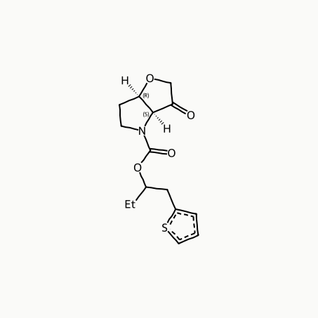 CCC(Cc1cccs1)OC(=O)N1CC[C@H]2OCC(=O)[C@H]21